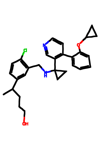 CC(CCCO)c1ccc(Cl)c(CNC2(c3cnccc3-c3ccccc3OC3CC3)CC2)c1